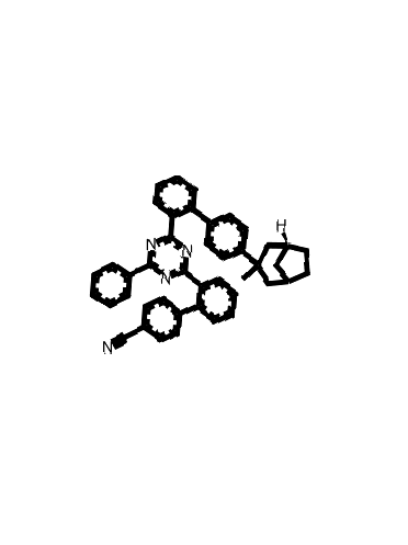 CC1(c2ccc(-c3ccccc3-c3nc(-c4ccccc4)nc(-c4ccccc4-c4ccc(C#N)cc4)n3)cc2)CC2CC[C@H](C2)C1